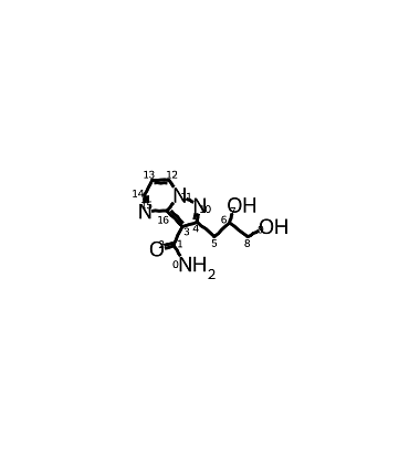 NC(=O)c1c(CC(O)CO)nn2cccnc12